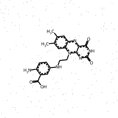 Cc1cc2nc3c(=O)[nH]c(=O)nc-3n(CCNc3ccc(N)c(C(=O)O)c3)c2cc1C